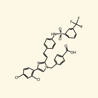 O=C(O)c1ccc(Cn2cc(-c3ccc(Cl)cc3Cl)nc2/C=C/c2ccc(NS(=O)(=O)c3cccc(C(F)(F)F)c3)cc2)cc1